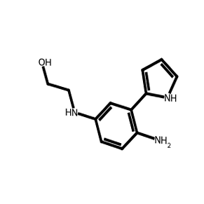 Nc1ccc(NCCO)cc1-c1ccc[nH]1